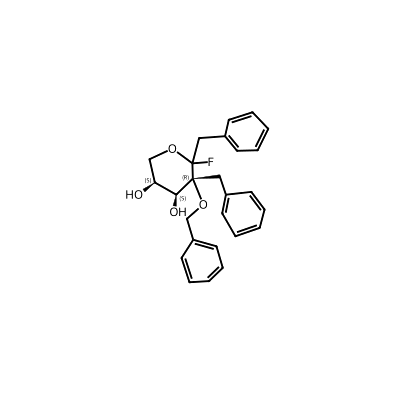 O[C@H]1COC(F)(Cc2ccccc2)[C@](Cc2ccccc2)(OCc2ccccc2)[C@H]1O